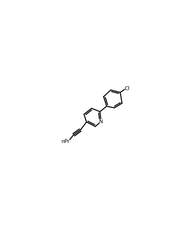 CCCC#Cc1ccc(-c2ccc(Cl)cc2)nc1